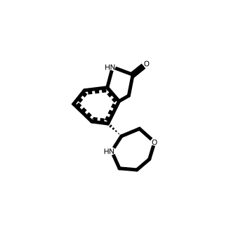 O=C1Cc2c(cccc2[C@@H]2COCCCN2)N1